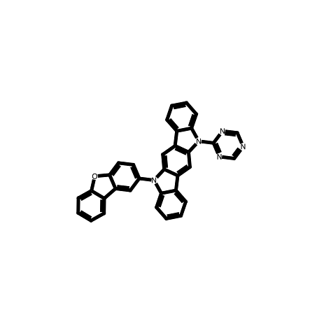 c1ccc2c(c1)oc1ccc(-n3c4ccccc4c4cc5c(cc43)c3ccccc3n5-c3ncncn3)cc12